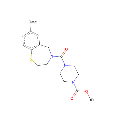 COc1ccc2c(c1)CN(C(=O)N1CCN(C(=O)OC(C)(C)C)CC1)CCS2